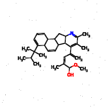 C=C(C=C(C)C(O)OC)C1=C(C)C(C)=NC2CC3C4C=CC=C(C(C)(C)C(C)C)C4C=CC3C12